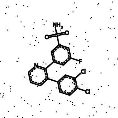 NS(=O)(=O)c1cc(F)cc(-c2ncccc2-c2ccc(Cl)c(Cl)c2)c1